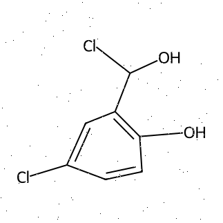 Oc1ccc(Cl)cc1C(O)Cl